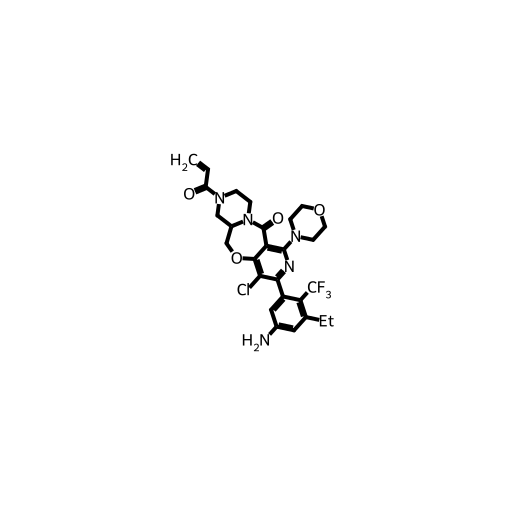 C=CC(=O)N1CCN2C(=O)c3c(N4CCOCC4)nc(-c4cc(N)cc(CC)c4C(F)(F)F)c(Cl)c3OCC2C1